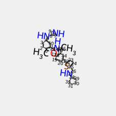 Cc1ccc(NC2CNC2)cc1C(=O)N[C@H](C)c1cccc(-c2ccc(CNC3CCCC3)s2)c1